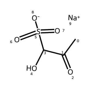 CC(=O)C(O)S(=O)(=O)[O-].[Na+]